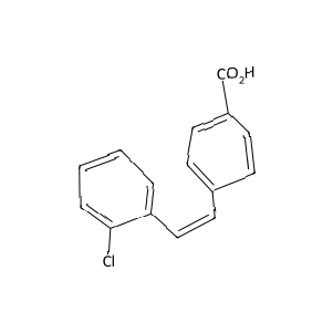 O=C(O)c1ccc(/C=C\c2ccccc2Cl)cc1